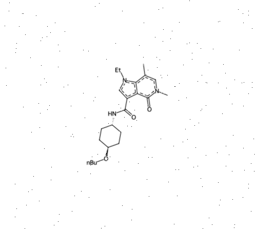 CCCCO[C@H]1CC[C@H](NC(=O)c2cn(CC)c3c(C)cn(C)c(=O)c23)CC1